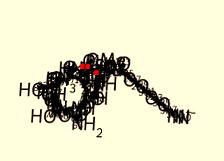 CC[C@H](C)[C@@H]1NC(=O)CNC(=O)[C@@H]2Cc3c([nH]c4c(CSC5CCN(C(=O)CCOCCOCCOCCOCCN=[N+]=[N-])CC5)c(OC)ccc34)[S+]([O-])C[C@H](NC(=O)CNC1=O)C(=O)N[C@@H](CC(N)=O)C(=O)N1C[C@H](O)C[C@H]1C(=O)N[C@@H]([C@@H](C)[C@@H](O)CO)C(=O)N2